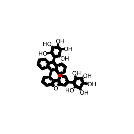 Oc1c(O)c(O)c(-c2ccc3c(c2)oc2cccc(-c4c5ccccc5c(-c5c(O)c(O)c(O)c(O)c5O)c5ccccc45)c23)c(O)c1O